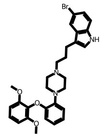 COc1cccc(OC)c1Oc1ccccc1N1CCN(CCCc2c[nH]c3ccc(Br)cc23)CC1